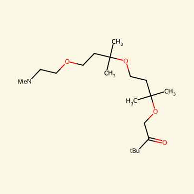 CNCCOCCC(C)(C)OCCC(C)(C)OCC(=O)C(C)(C)C